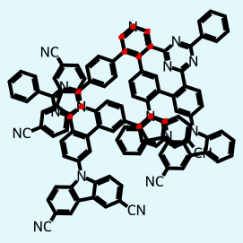 N#Cc1ccc2c(c1)c1ccccc1n2-c1ccc(-c2nc(-c3ccccc3)nc(-c3ccccc3)n2)c(-c2cc(-c3ccncc3-c3ccc(-c4nc(-c5ccccc5)nc(-c5ccc(-n6c7ccc(C#N)cc7c7cc(C#N)ccc76)cc5-c5cc(-c6ccncc6)ccc5-n5c6ccc(C#N)cc6c6cc(C#N)ccc65)n4)cc3)ccc2-n2c3ccccc3c3cc(C#N)ccc32)c1